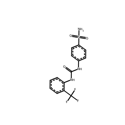 NS(=O)(=O)c1ccc(NC(=O)Nc2ccccc2C(F)(F)F)cc1